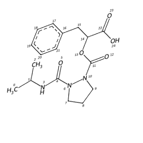 CC(C)NC(=O)N1CCCN1C(=O)OC(Cc1ccccc1)C(=O)O